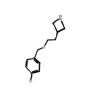 Clc1ccc(COCCC2CNC2)cc1